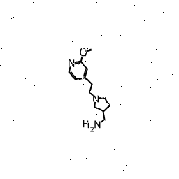 COc1cc(CCN2CCC(CN)C2)ccn1